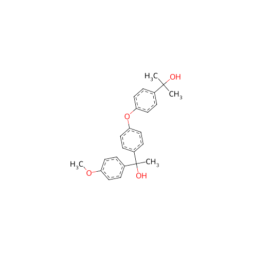 COc1ccc(C(C)(O)c2ccc(Oc3ccc(C(C)(C)O)cc3)cc2)cc1